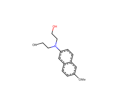 COc1ccc2cc(N(CCO)CCN=O)ccc2c1